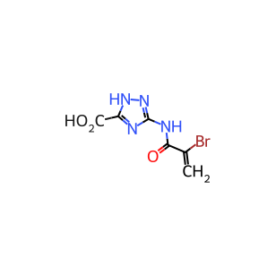 C=C(Br)C(=O)Nc1n[nH]c(C(=O)O)n1